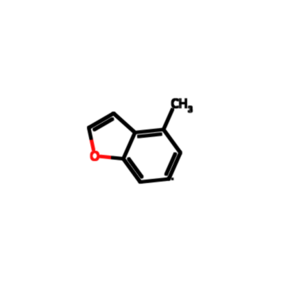 Cc1c[c]cc2occc12